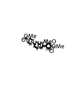 COC(=O)N1CCN(c2ccn3cc(-c4cc(Cl)c(OC)cc4OC)nc3n2)CC1